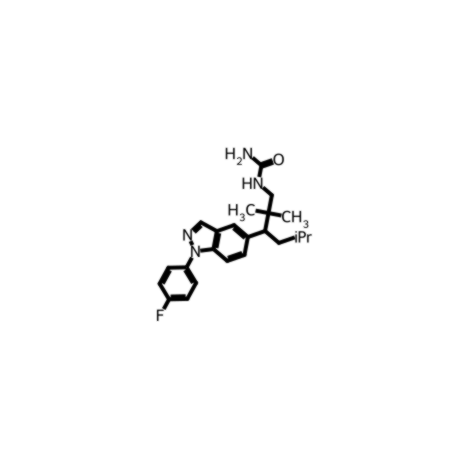 CC(C)CC(c1ccc2c(cnn2-c2ccc(F)cc2)c1)C(C)(C)CNC(N)=O